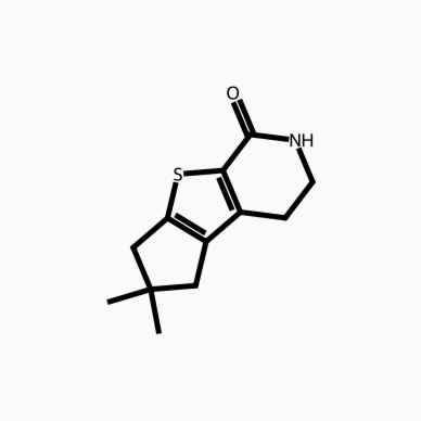 CC1(C)Cc2sc3c(c2C1)CCNC3=O